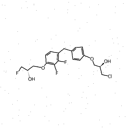 O[C@H](CF)COc1ccc(Cc2ccc(OC[C@@H](O)CCl)cc2)c(F)c1F